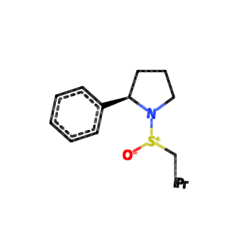 CC(C)C[S+]([O-])N1CCC[C@@H]1c1ccccc1